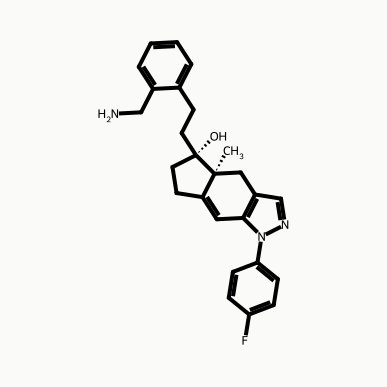 C[C@]12Cc3cnn(-c4ccc(F)cc4)c3C=C1CC[C@@]2(O)CCc1ccccc1CN